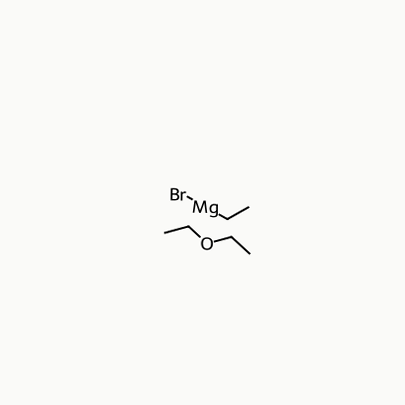 CCOCC.C[CH2][Mg][Br]